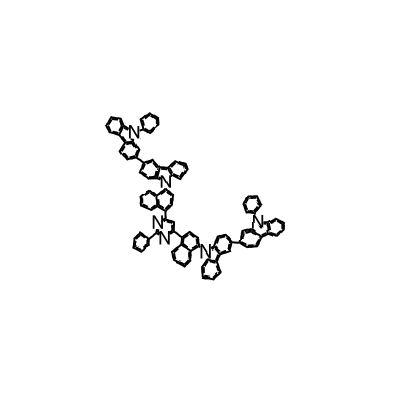 c1ccc(-c2nc(-c3ccc(-n4c5ccccc5c5cc(-c6ccc7c8ccccc8n(-c8ccccc8)c7c6)ccc54)c4ccccc34)cc(-c3ccc(-n4c5ccccc5c5cc(-c6ccc7c8ccccc8n(-c8ccccc8)c7c6)ccc54)c4ccccc34)n2)cc1